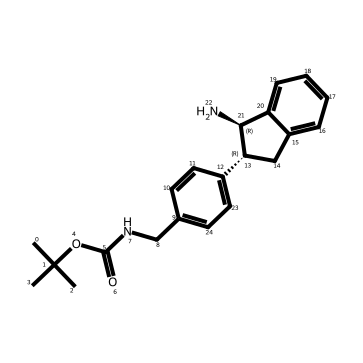 CC(C)(C)OC(=O)NCc1ccc([C@H]2Cc3ccccc3[C@@H]2N)cc1